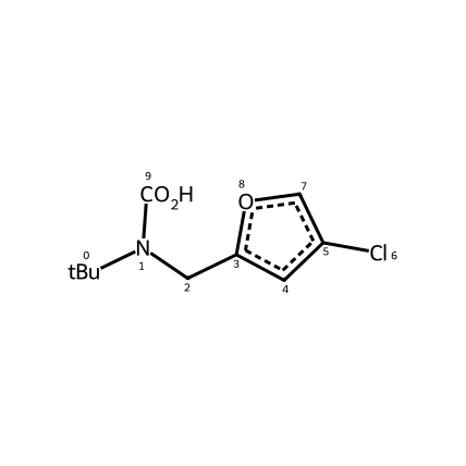 CC(C)(C)N(Cc1cc(Cl)co1)C(=O)O